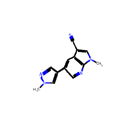 Cn1cc(-c2cnc3c(c2)c(C#N)cn3C)cn1